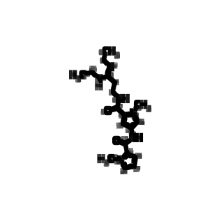 CC/N=C(/CCNC(=O)c1cc(NC(=O)c2cccn2C)cn1C)NCC